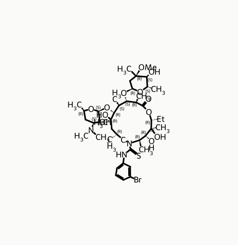 CC[C@H]1OC(=O)[C@H](C)[C@@H](O[C@H]2C[C@@](C)(OC)[C@@H](O)[C@H](C)O2)[C@H](C)[C@@H](O[C@@H]2O[C@H](C)C[C@H](N(C)C)[C@H]2O)[C@](C)(O)C[C@@H](C)CN(C(=S)Nc2cccc(Br)c2)[C@H](C)[C@@H](O)[C@]1(C)O